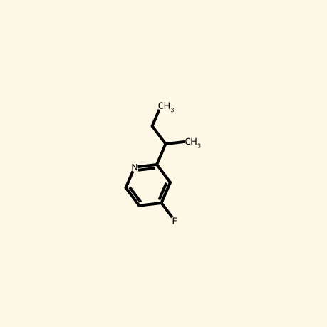 CCC(C)c1cc(F)ccn1